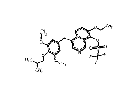 CCOc1ccc2c(Cc3cc(OC)c(OCC(C)C)c(OC)c3)cncc2c1OS(=O)(=O)C(F)(F)F